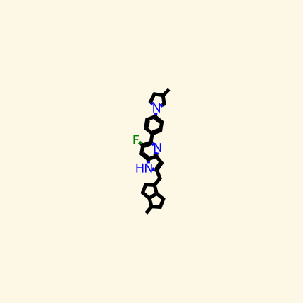 CC1CCN(c2ccc(-c3nc4cc(CC5CCC6C(C)CCC56)[nH]c4cc3F)cc2)C1